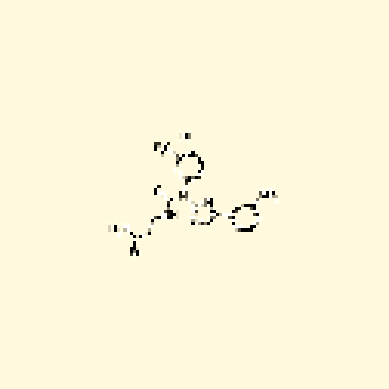 CCC(N)CCNC(=O)N(c1cccc(C(F)(F)F)c1)c1nc(-c2cccc([N+](=O)[O-])c2)cs1.I